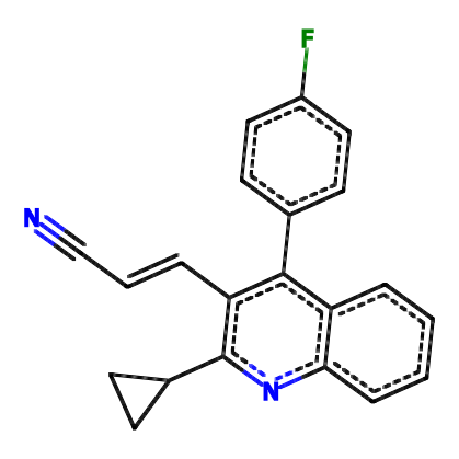 N#C/C=C/c1c(C2CC2)nc2ccccc2c1-c1ccc(F)cc1